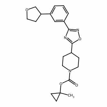 CC1(OC(=O)N2CCC(c3nc(-c4cccc(C5CCOC5)c4)no3)CC2)CC1